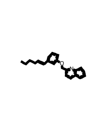 CCCCC=Cc1cccc(OCc2ccc3ccccc3n2)c1